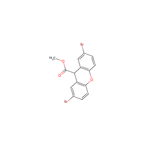 COC(=O)C1c2cc(Br)ccc2Oc2ccc(Br)cc21